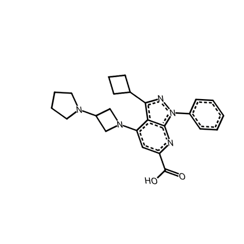 O=C(O)c1cc(N2CC(N3CCCC3)C2)c2c(C3CCC3)nn(-c3ccccc3)c2n1